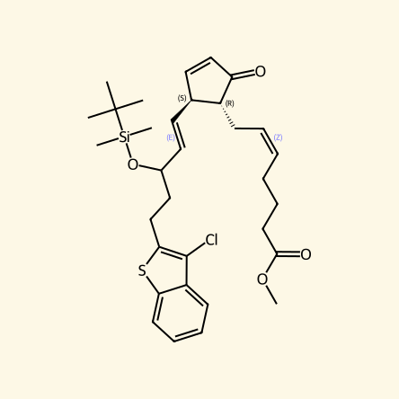 COC(=O)CCC/C=C\C[C@H]1C(=O)C=C[C@@H]1/C=C/C(CCc1sc2ccccc2c1Cl)O[Si](C)(C)C(C)(C)C